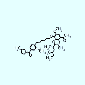 C=C(CC)CC(C)C(=O)N(C)Cc1cc(OCCCCCCc2ccc(C(=O)N3CCC(=C)C3)cc2OC)c(OC)cc1C(C)=O